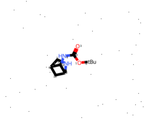 CC(C)(C)OC(=O)NC1C2CNC1C2